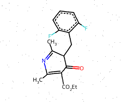 CCOC(=O)C1=C(C)N=C(C)C(Cc2c(F)cccc2F)C1=O